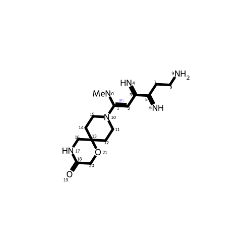 CN/C(=C\C(=N)C(=N)CCN)N1CCC2(CC1)CNC(=O)CO2